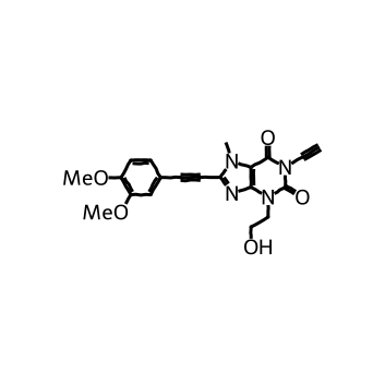 C#Cn1c(=O)c2c(nc(C#Cc3ccc(OC)c(OC)c3)n2C)n(CCO)c1=O